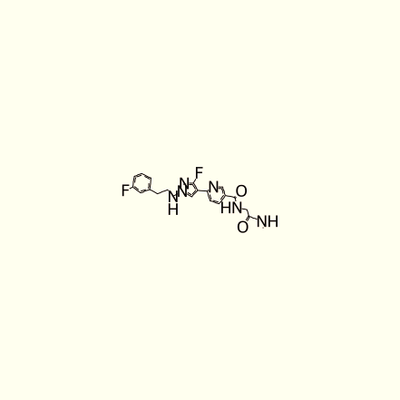 CNC(=O)CNC(=O)c1ccc(-c2cn(NCCc3cccc(F)c3)nc2F)nc1